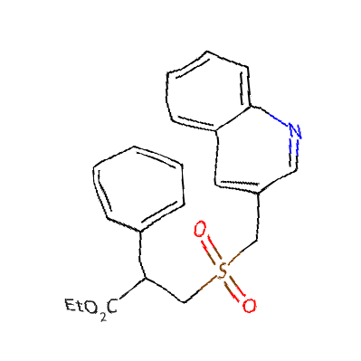 CCOC(=O)C(CS(=O)(=O)Cc1cnc2ccccc2c1)c1ccccc1